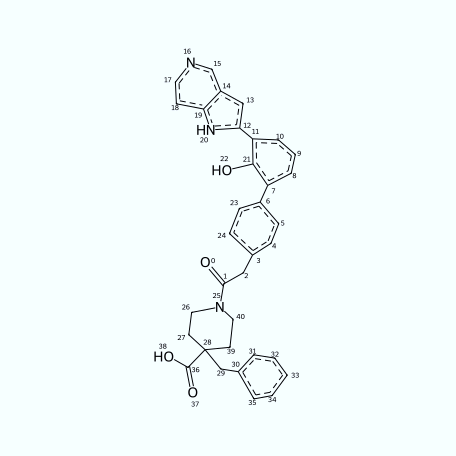 O=C(Cc1ccc(-c2cccc(-c3cc4cnccc4[nH]3)c2O)cc1)N1CCC(Cc2ccccc2)(C(=O)O)CC1